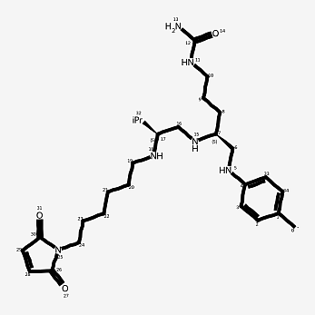 [CH2]c1ccc(NC[C@H](CCCNC(N)=O)NC[C@@H](NCCCCCCN2C(=O)C=CC2=O)C(C)C)cc1